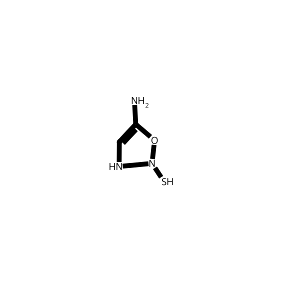 NC1=CNN(S)O1